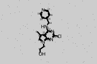 Cc1cn(CCO)c2nc(Cl)nc(NCc3ccncc3)c12